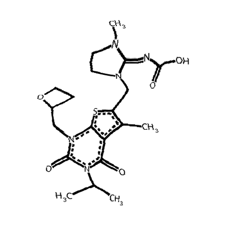 Cc1c(CN2CCN(C)C2=NC(=O)O)sc2c1c(=O)n(C(C)C)c(=O)n2CC1CCO1